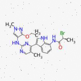 CCOc1nn(C)cc1Nc1ncc(C)c(-c2c[nH]c3c(NC(=O)[C@H](C)Br)cccc23)n1